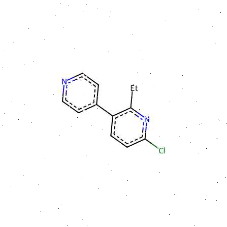 CCc1nc(Cl)ccc1-c1ccncc1